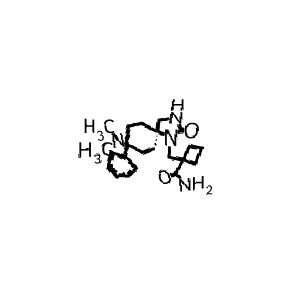 CN(C)[C@]1(c2ccccc2)CC[C@]2(CC1)CNC(=O)N2CC1(C(N)=O)CCC1